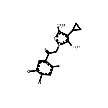 CCOC(=O)c1nn(CC(=O)c2cc(Cl)c(Cl)cc2F)c(C(=O)OCC)c1C1CC1